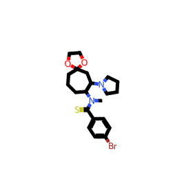 CN(C(=S)c1ccc(Br)cc1)C1CCCC2(CC1N1CCCC1)OCCO2